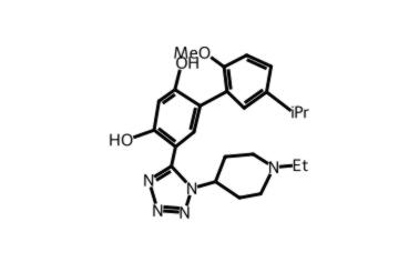 CCN1CCC(n2nnnc2-c2cc(-c3cc(C(C)C)ccc3OC)c(O)cc2O)CC1